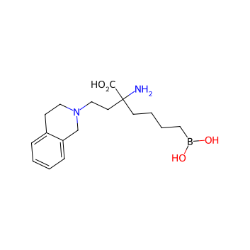 NC(CCCCB(O)O)(CCN1CCc2ccccc2C1)C(=O)O